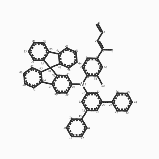 C=C/C=C(\C)c1ccc(N(c2cc(-c3ccccc3)cc(-c3ccccc3)c2)c2ccc3c(c2)C2(c4ccccc4-c4ccccc42)c2ccccc2-3)c(C)c1